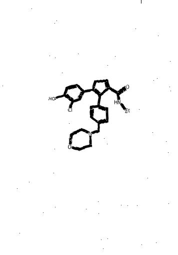 CCNC(=O)C1=CCC(c2ccc(O)c(Cl)c2)=C1c1ccc(CN2CCOCC2)cc1